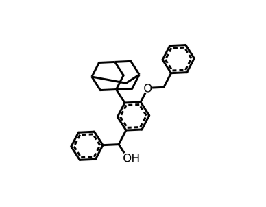 OC(c1ccccc1)c1ccc(OCc2ccccc2)c(C23CC4CC(CC(C4)C2)C3)c1